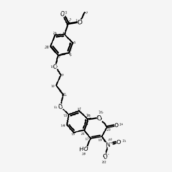 COC(=O)c1ccc(OCCCOc2ccc3c(O)c([N+](=O)[O-])c(=O)oc3c2)cc1